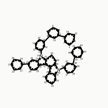 c1ccc(-c2cccc(-c3cccc(-n4c5cc(-c6ccccc6)ccc5c5c6c7ccccc7n(-c7cccc(-c8ccccc8)c7)c6ccc54)c3)c2)cc1